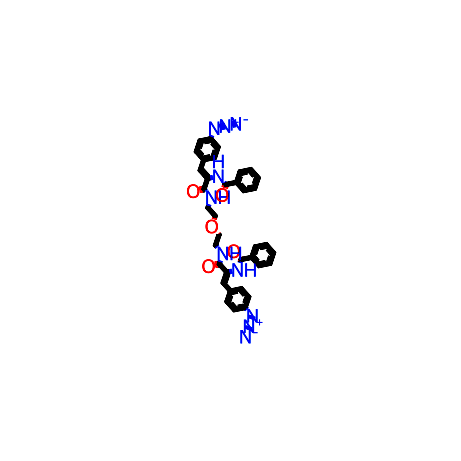 [N-]=[N+]=Nc1ccc(/C=C(\NC(=O)c2ccccc2)C(=O)NCCOCCNC(=O)/C(=C/c2ccc(N=[N+]=[N-])cc2)NC(=O)c2ccccc2)cc1